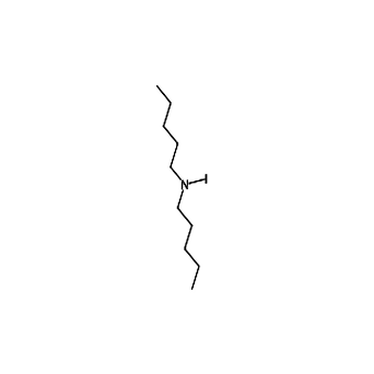 CCCCCN(I)CCCCC